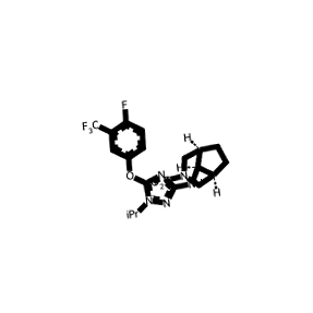 CC(C)n1nc(N[C@H]2[C@@H]3CC[C@H]2CN(C(=O)O)C3)nc1Oc1ccc(F)c(C(F)(F)F)c1